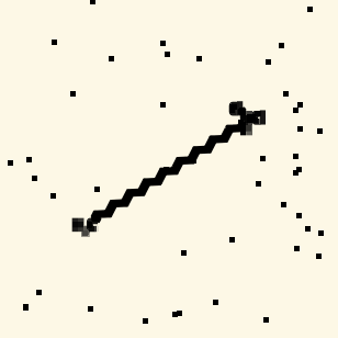 C=CCCCCCCCCCCCCCCCCC[SiH](Cl)Cl